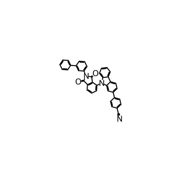 N#Cc1ccc(-c2ccc3c4ccccc4n(-c4cccc5c4C(=O)N(c4cccc(-c6ccccc6)c4)C5=O)c3c2)cc1